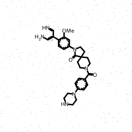 COc1cc(N2CCC3(CCN(C(=O)c4ccc(N5CCNCC5)cc4)CC3)C2=O)ccc1/C(C=N)=C/N